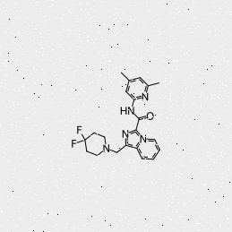 Cc1cc(C)nc(NC(=O)c2nc(CN3CCC(F)(F)CC3)c3ccccn23)c1